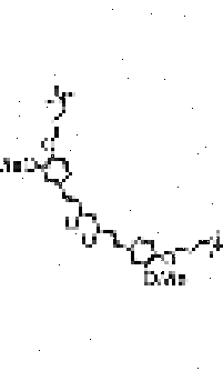 COc1cc(/C=C/C(=O)CC(=O)/C=C/c2ccc(OCCC[N+](C)(C)C)c(OC)c2)ccc1OCCC[N+](C)(C)C